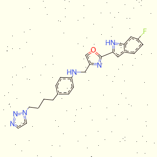 Fc1ccc2cc(-c3nc(CNc4ccc(CCCCn5ccnn5)cc4)co3)[nH]c2c1